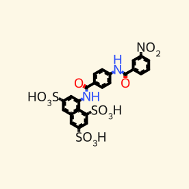 O=C(Nc1ccc(C(=O)Nc2cc(S(=O)(=O)O)cc3cc(S(=O)(=O)O)cc(S(=O)(=O)O)c23)cc1)c1cccc([N+](=O)[O-])c1